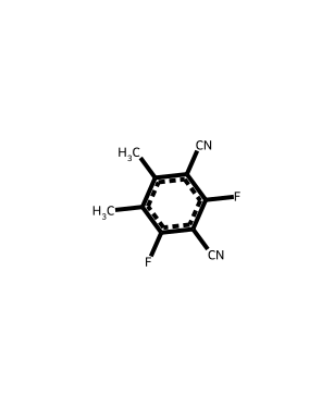 Cc1c(C)c(C#N)c(F)c(C#N)c1F